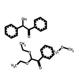 CCOC(OCC)C(=O)c1ccccc1.COC.O=C(c1ccccc1)C(O)c1ccccc1